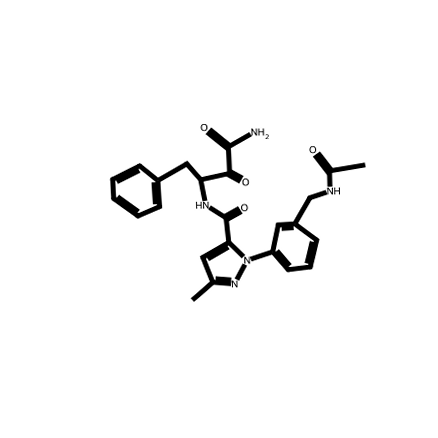 CC(=O)NCc1cccc(-n2nc(C)cc2C(=O)NC(Cc2ccccc2)C(=O)C(N)=O)c1